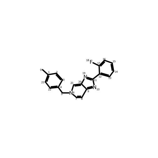 Cc1ccc(Cn2ccc3nc(-c4ccccc4F)nc-3c2)cc1